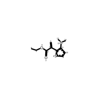 C=C(C(=O)OCC)c1sccc1N(C)C